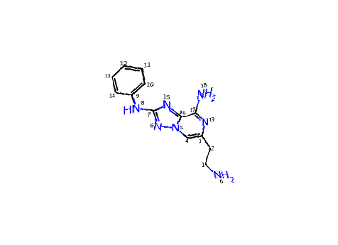 NCCc1cn2nc(Nc3ccccc3)nc2c(N)n1